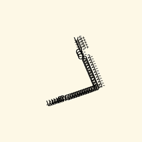 [Cl-].[Cl-].[Cl-].[Cl-].[Cl-].[O-2].[O-2].[O-2].[O-2].[O-2].[O-2].[O-2].[O-2].[O-2].[O-2].[O-2].[O-2].[O-2].[O-2].[O-2].[O-2].[O-2].[O-2].[O-2].[O-2].[O-2].[O-2].[O-2].[O-2].[O-2].[V+5].[V+5].[V+5].[V+5].[V+5].[V+5].[V+5].[V+5].[V+5].[V+5].[V+5]